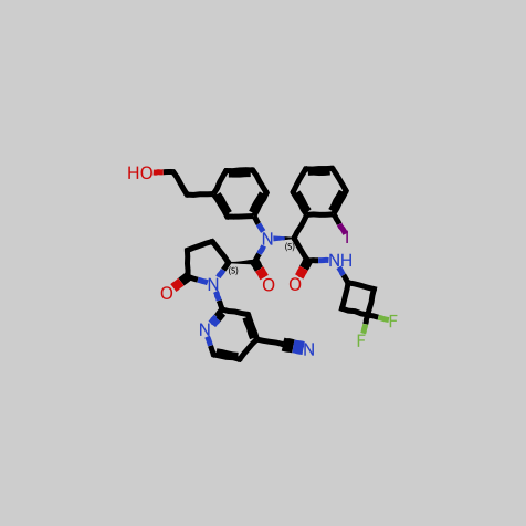 N#Cc1ccnc(N2C(=O)CC[C@H]2C(=O)N(c2cccc(CCO)c2)[C@H](C(=O)NC2CC(F)(F)C2)c2ccccc2I)c1